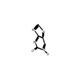 O=C1N=C2N=CN=C2C=[N+]1[O-]